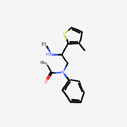 CCNC(CN(C(=O)C(C)(C)C)c1ccccc1)c1sccc1C